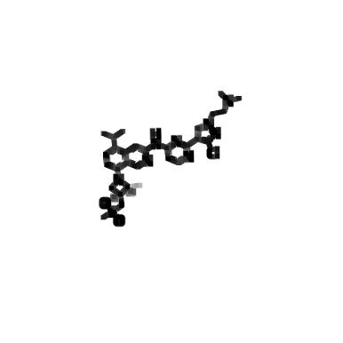 CC(C)c1ccc(N2C[C@H](CS(C)(=O)=O)[C@H]2C)c2cnc(Nc3ccnc(-c4cn(CCN(C)C)nc4Cl)n3)cc12